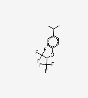 CC(C)c1ccc(OC(C(F)(F)F)C(F)(F)F)cc1